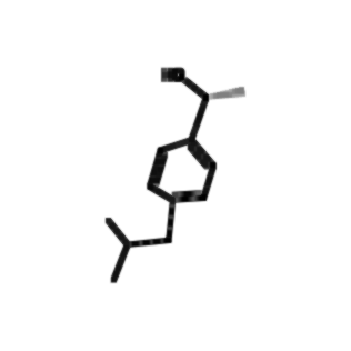 CC(C)Cc1ccc([C@@H](C)O)cc1